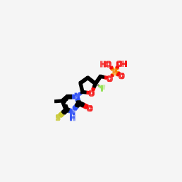 Cc1cn([C@H]2CC[C@@](F)(COP(=O)(O)O)O2)c(=O)[nH]c1=S